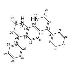 CC1C=C(C2=CCCC=C2)c2ccc3c(c2N1)NC(C)C=C3c1ccccc1